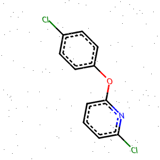 Clc1ccc(Oc2cccc(Cl)n2)cc1